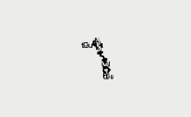 CC(C)(C)c1cnn2c1CN(C(C)(C)CCC(C)(C)c1nc3c(s1)CN(C(C)(C)C)CC3)CC2